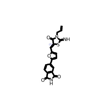 C=CCN1C(=N)S/C(=C\c2ccc(-c3ccc4c(c3)C(=O)NC4=O)o2)C1=O